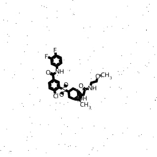 COCCNC(=O)C[C@@]1(O)C2CC(S(=O)(=O)c3cc(C(=O)Nc4ccc(F)c(F)c4)ccc3Cl)CC1[C@@H](C)C2